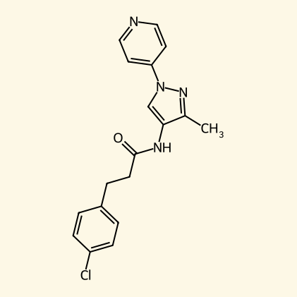 Cc1nn(-c2ccncc2)cc1NC(=O)CCc1ccc(Cl)cc1